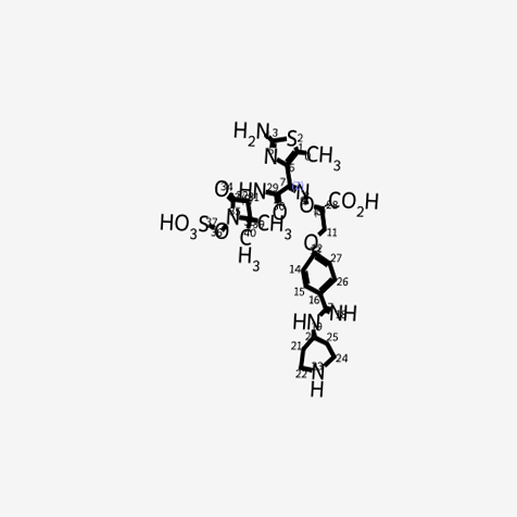 Cc1sc(N)nc1/C(=N/O[C@@H](COc1ccc(C(=N)NC2CCNCC2)cc1)C(=O)O)C(=O)N[C@@H]1C(=O)N(OS(=O)(=O)O)C1(C)C